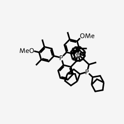 COc1c(C)cc(P(c2cc(C)c(OC)c(C)c2)c2ccccc2[C]23[CH]4[CH]5[CH]6[C]2(C(C)P(C2CC7CCC2C7)C2CC7CCC2C7)[Fe]54632789[CH]3[CH]2[CH]7[CH]8[CH]39)cc1C